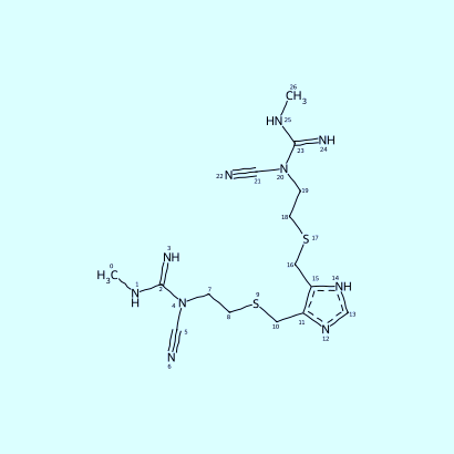 CNC(=N)N(C#N)CCSCc1nc[nH]c1CSCCN(C#N)C(=N)NC